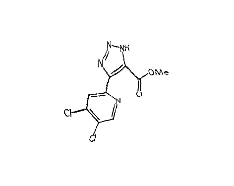 COC(=O)c1[nH]nnc1-c1cc(Cl)c(Cl)cn1